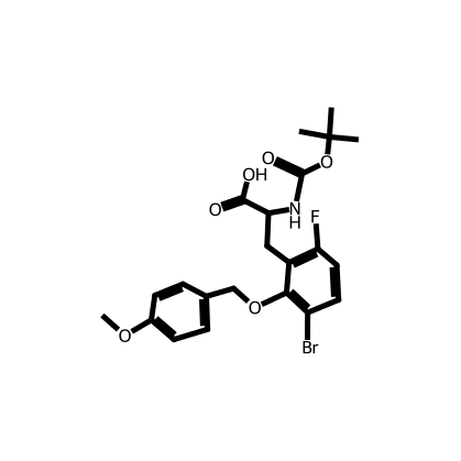 COc1ccc(COc2c(Br)ccc(F)c2CC(NC(=O)OC(C)(C)C)C(=O)O)cc1